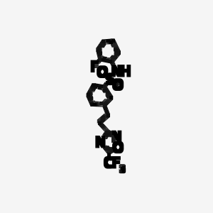 O=S(=O)(Nc1ccccc1F)c1cccc(C=Cc2noc(C(F)(F)F)n2)c1